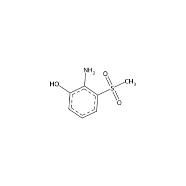 CS(=O)(=O)c1cccc(O)c1N